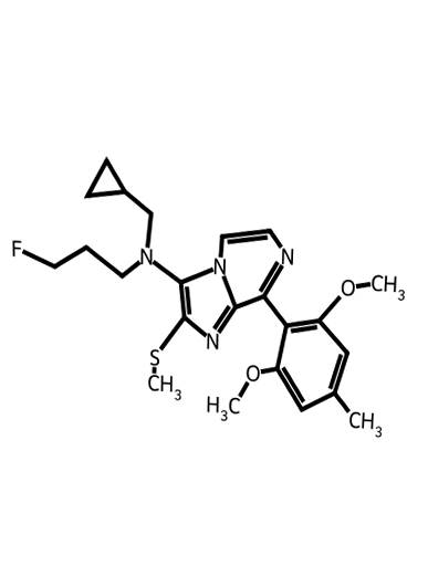 COc1cc(C)cc(OC)c1-c1nccn2c(N(CCCF)CC3CC3)c(SC)nc12